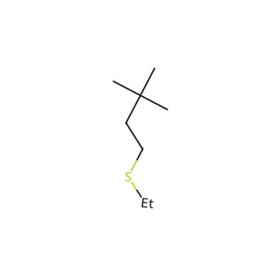 CCSCCC(C)(C)C